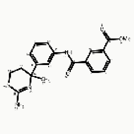 COC(=O)c1cccc(C(=O)Nc2cccc(C3(C)CCSC(N)=N3)c2)c1